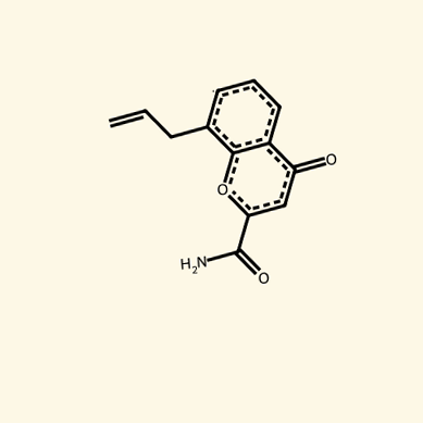 C=CCc1[c]ccc2c(=O)cc(C(N)=O)oc12